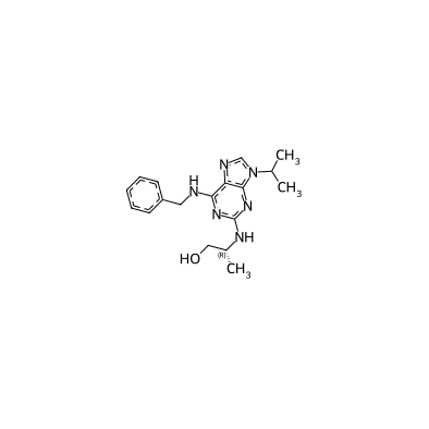 CC(C)n1cnc2c(NCc3ccccc3)nc(N[C@H](C)CO)nc21